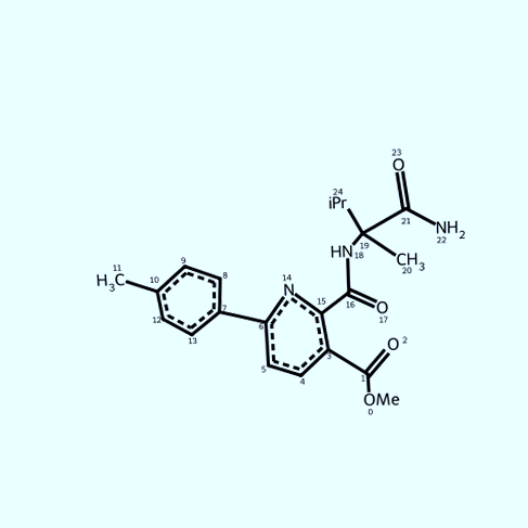 COC(=O)c1ccc(-c2ccc(C)cc2)nc1C(=O)NC(C)(C(N)=O)C(C)C